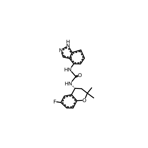 CC1(C)C[C@@H](NC(=O)Nc2cccc3[nH]ncc23)c2cc(F)ccc2O1